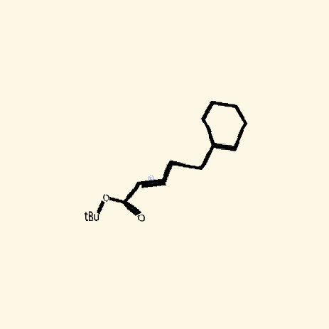 CC(C)(C)OC(=O)/C=C/CCC1CCCCC1